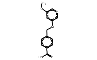 COc1cncc(NCc2ccc(C(=O)O)cc2)n1